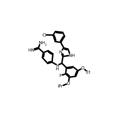 CCOc1cc(OC(C)C)c(F)c(C(Nc2ccc(C(=N)N)cc2)c2nc(-c3cccc(Cl)c3)c[nH]2)c1